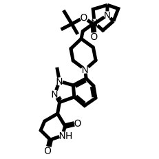 Cn1nc(C2CCC(=O)NC2=O)c2cccc(N3CCC(CN4CC5CC(C4)N5C(=O)OC(C)(C)C)CC3)c21